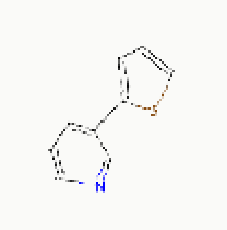 [c]1ccc(-c2cc[c]s2)cn1